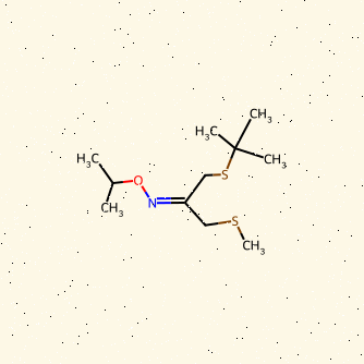 CSC/C(CSC(C)(C)C)=N/OC(C)C